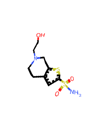 NS(=O)(=O)c1cc2c(s1)CN(CCO)CC2